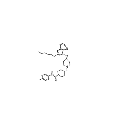 CCCCCCc1cc(OC2CCN(C[C@H]3CC[C@H](C(=O)Nc4ccc(C)cc4)CC3)CC2)c2ncccc2c1